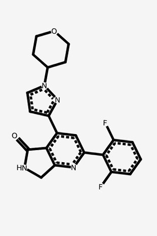 O=C1NCc2nc(-c3c(F)cccc3F)cc(-c3ccn(C4CCOCC4)n3)c21